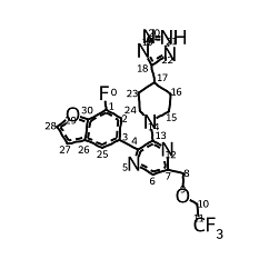 Fc1cc(-c2ncc(COCC(F)(F)F)nc2N2CCC(c3nn[nH]n3)CC2)cc2ccoc12